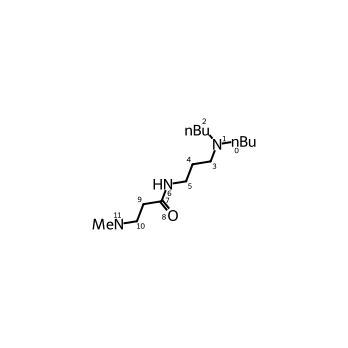 CCCCN(CCCC)CCCNC(=O)CCNC